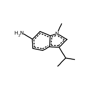 CC(C)c1cn(C)c2cc(N)ccc12